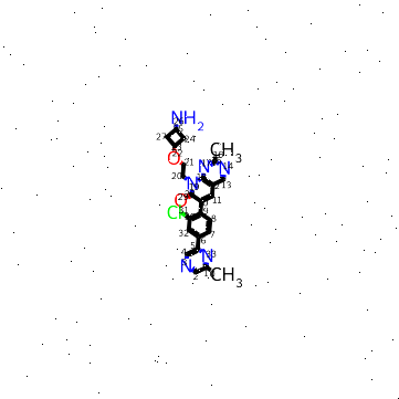 Cc1cncc(-c2ccc(-c3cc4cnc(C)nc4n(CCOC4CC(N)C4)c3=O)c(Cl)c2)n1